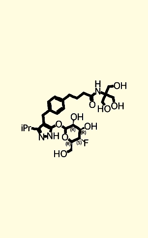 CC(C)c1n[nH]c(OC2O[C@H](CO)[C@@H](F)[C@H](O)[C@H]2O)c1Cc1ccc(CCCC(=O)NC(CO)(CO)CO)cc1